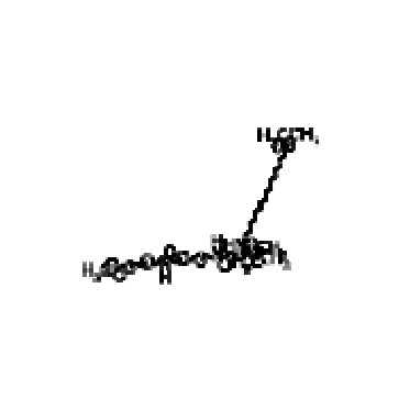 COC(=O)COCCOCCNC(=O)COCCOCCNC(=O)CC[C@H](NC(=O)CCCCCCCCCCCCCCCCC(=O)OC(C)C)C(=O)OC(C)(C)C